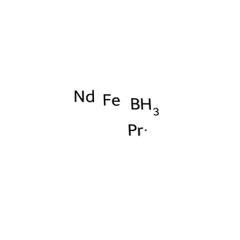 B.[Fe].[Nd].[Pr]